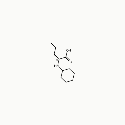 CCC[C@H](NC1CCCCC1)C(=O)O